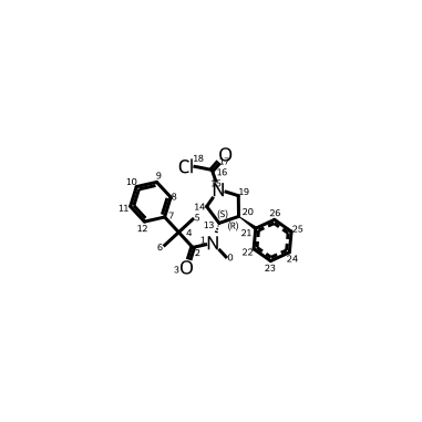 CN(C(=O)C(C)(C)C1=CC=C=C=C1)[C@@H]1CN(C(=O)Cl)C[C@H]1c1ccccc1